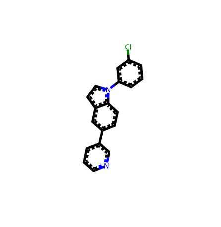 Clc1cccc(-n2ccc3cc(-c4cccnc4)ccc32)c1